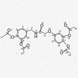 CC(=O)Oc1ccc(CNC(=O)COc2ccc(OC(C)=O)c(OC(C)=O)c2)cc1OC(C)=O